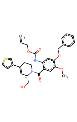 C=CCOC(=O)Nc1cc(OCc2ccccc2)c(OC)cc1C(=O)N1CCC(c2ccsc2)=C[C@H]1CO